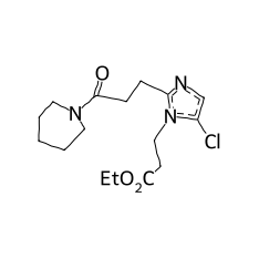 CCOC(=O)CCn1c(Cl)cnc1CCC(=O)N1CCCCC1